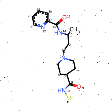 CC(CCN1CCC(C(=O)NS)CC1)NC(=O)c1ccccn1